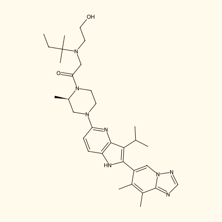 CCC(C)(C)N(CCO)CC(=O)N1CCN(c2ccc3[nH]c(-c4cn5ncnc5c(C)c4C)c(C(C)C)c3n2)C[C@H]1C